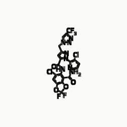 NC(=O)c1c(NC(=O)c2cc(Cn3cc(C(F)(F)F)nn3)nn2-c2ncccc2Cl)c(Cl)cc2c1OC(F)(F)O2